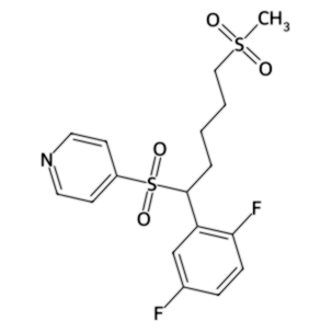 CS(=O)(=O)CCCCC(c1cc(F)ccc1F)S(=O)(=O)c1ccncc1